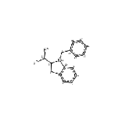 FC(F)C1Cc2ccccc2N1Cc1ccccc1